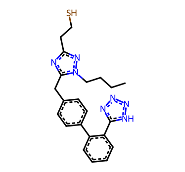 CCCCn1nc(CCS)nc1Cc1ccc(-c2ccccc2-c2nnn[nH]2)cc1